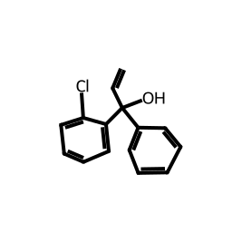 C=CC(O)(c1ccccc1)c1ccccc1Cl